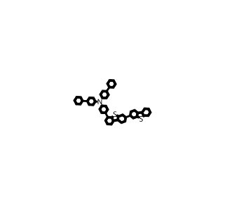 c1ccc(-c2ccc(N(c3ccc(-c4ccccc4)cc3)c3ccc(-c4cccc5c4sc4cc(-c6ccc7c(c6)sc6ccccc67)ccc45)cc3)cc2)cc1